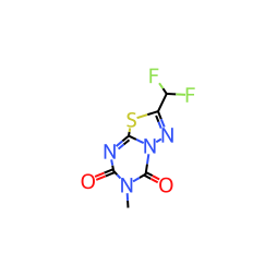 Cn1c(=O)nc2sc(C(F)F)nn2c1=O